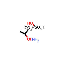 CC(O)C(=O)O.N.O=S(=O)(O)O